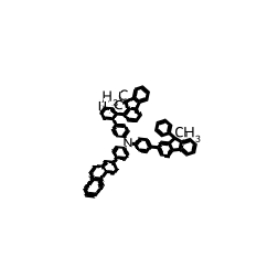 CC1(C)c2ccccc2-c2cccc(-c3ccccc3-c3ccc(N(c4ccc(-c5ccc6c(c5)C(C)(c5ccccc5)c5ccccc5-6)cc4)c4ccc(-c5ccc6c(ccc7ccccc76)c5)cc4)cc3)c21